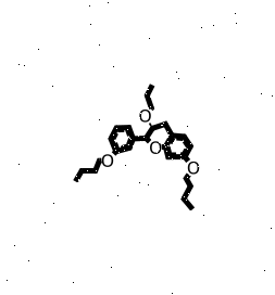 CCCCOc1cccc(C2Oc3cc(OCCCC)ccc3C[C@H]2OCCC)c1